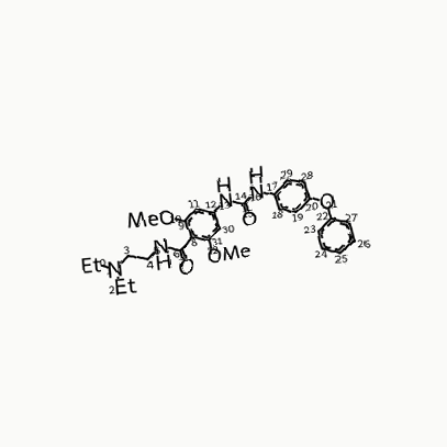 CCN(CC)CCNC(=O)c1c(OC)cc(NC(=O)Nc2ccc(Oc3ccccc3)cc2)cc1OC